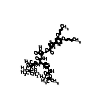 CCCCOc1cnc(-c2nc(C(=O)OC[C@H]3NC(=O)[C@H]3NC(=O)/C(=N\OC(C)(C)C(=O)OC(C)(C)C)c3csc(NC(=O)OC(C)(C)C)n3)cs2)cc1OCCCC